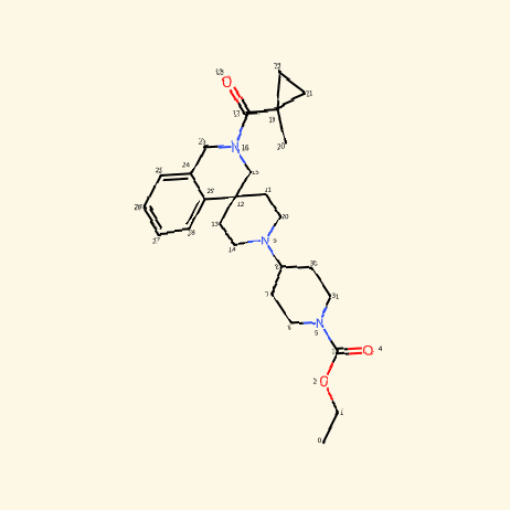 CCOC(=O)N1CCC(N2CCC3(CC2)CN(C(=O)C2(C)CC2)Cc2ccccc23)CC1